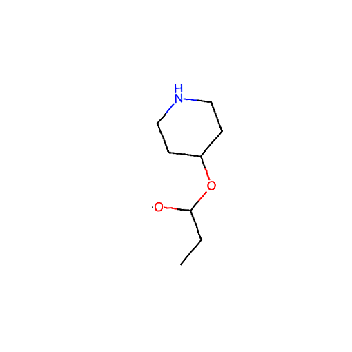 CCC([O])OC1CCNCC1